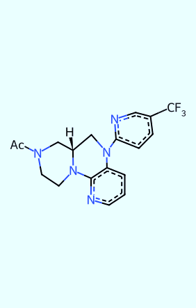 CC(=O)N1CCN2c3ncccc3N(c3ccc(C(F)(F)F)cn3)C[C@H]2C1